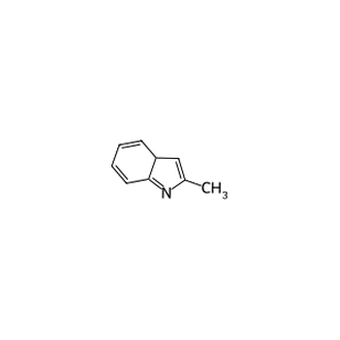 CC1=CC2C=CC=CC2=N1